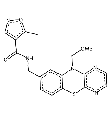 COCN1c2cc(CNC(=O)c3cnoc3C)ccc2Sc2nccnc21